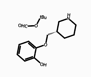 CC(C)(C)OC=O.Oc1ccccc1OC[C@H]1CCCNC1